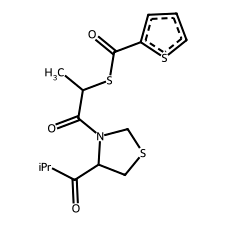 CC(C)C(=O)C1CSCN1C(=O)C(C)SC(=O)c1cccs1